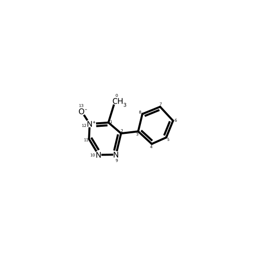 Cc1c(-c2ccccc2)nnc[n+]1[O-]